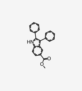 COC(=O)c1ccc2[nH]c(-c3ccccc3)c(-c3ccccc3)c2c1